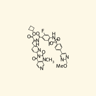 COCc1ncc(-c2ccc(S(=O)(=O)Nc3cc(F)c(C(=O)N[C@@H](Cc4ccc(-n5c(=O)c6ccncc6n(C)c5=O)nc4)C(=O)OC4CCC4)cc3F)cc2)cn1